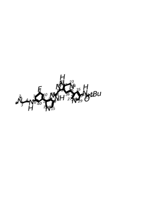 CN(C)CCNc1cc(F)cc(-c2cncc3[nH]c(-c4n[nH]c5cnc(-c6cncc(NC(=O)C(C)(C)C)c6)cc45)nc23)c1